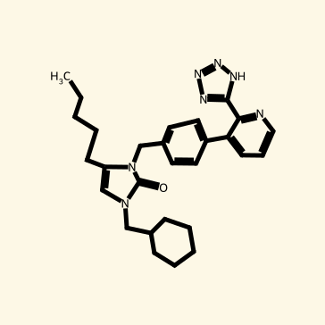 CCCCCc1cn(CC2CCCCC2)c(=O)n1Cc1ccc(-c2cccnc2-c2nnn[nH]2)cc1